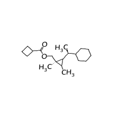 CC1C([C@@H](C)C2CCCCC2)[C@]1(C)COC(=O)C1CCC1